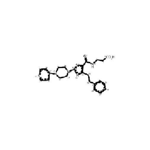 O=C(O)CCNC(=O)c1sc(N2CCN(c3ccncc3)CC2)nc1CCc1ccccc1